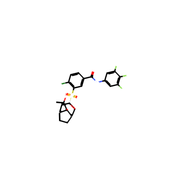 CC(O)[C@]1(O)C2CCC1C[C@H](S(=O)(=O)c1cc(C(=O)Nc3cc(F)c(F)c(F)c3)ccc1Cl)C2